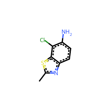 Cc1nc2ccc(N)c(Cl)c2s1